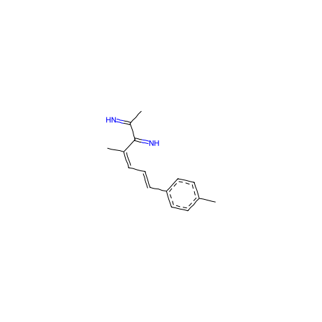 CC(=N)C(=N)C(C)=C/C=C/c1ccc(C)cc1